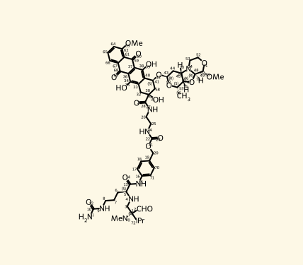 CN[C@@](C=O)(CN[C@@H](CCCNC(N)=O)C(=O)Nc1ccc(COC(=O)NCCNC(=O)[C@]2(O)Cc3c(O)c4c(c(O)c3[C@@H](O[C@H]3C[C@H]5[C@H](O[C@@H]6[C@@H](OC)OCCN65)[C@H](C)O3)C2)C(=O)c2c(OC)cccc2C4=O)cc1)C(C)C